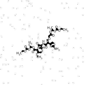 CCOC(=O)OC(C)OC(=O)CON=C(C(=O)NC1C(=O)N2C(C(=O)OC(C)OC(=O)OCC)=C(SC)CS[C@@H]12)c1csc(N)n1